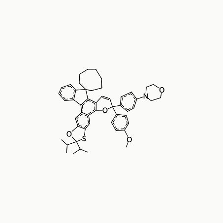 COc1ccc(C2(c3ccc(N4CCOCC4)cc3)C=Cc3c4c(c5cc6c(cc5c3O2)SC(C(C)C)(C(C)C)O6)-c2ccccc2C42CCCCCCC2)cc1